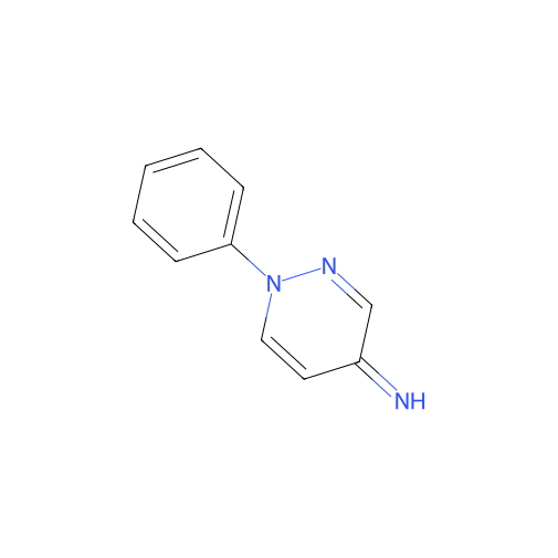 N=c1ccn(-c2ccccc2)nc1